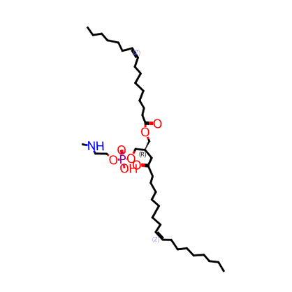 CCCCCC/C=C\CCCCCCCC(=O)OC[C@H](COP(=O)(O)OCCNC)CC(=O)CCCCCCC/C=C\CCCCCCCC